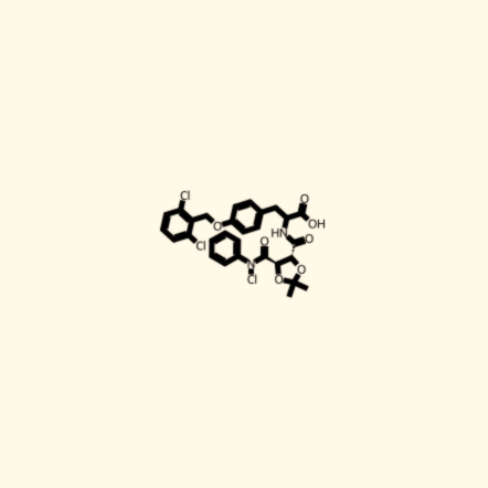 CC1(C)O[C@@H](C(=O)NC(Cc2ccc(OCc3c(Cl)cccc3Cl)cc2)C(=O)O)[C@H](C(=O)N(Cl)c2ccccc2)O1